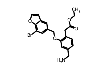 CCOC(=O)Cc1ccc(CN)cc1OCc1cc(Br)c2occc2c1